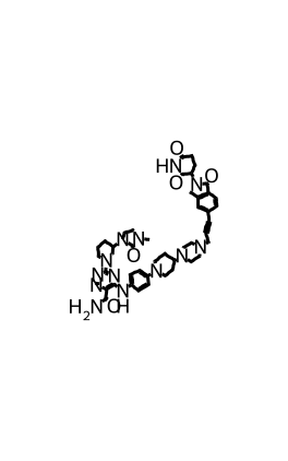 CN1CCN(C2CCCN(c3nnc(C(N)=O)c(Nc4ccc(N5CCC(N6CCN(CC#Cc7ccc8c(c7)CN(C7CCC(=O)NC7=O)C8=O)CC6)CC5)cc4)n3)C2)C1=O